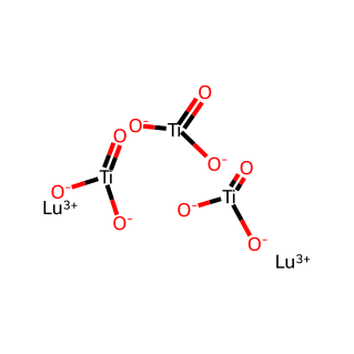 [Lu+3].[Lu+3].[O]=[Ti]([O-])[O-].[O]=[Ti]([O-])[O-].[O]=[Ti]([O-])[O-]